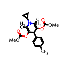 COC(=O)OC1=C(C)N(C2CC2)C(C)=C(OC(=O)OC)C1c1ccc(C(F)(F)F)cc1